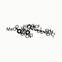 COC(=O)c1ccc(O)c(S(=O)(=O)Nc2cc(C#N)c(Cl)cc2N2CCCCC2CN(CCOCOCC[Si](C)(C)C)C(=O)C(F)(F)F)c1